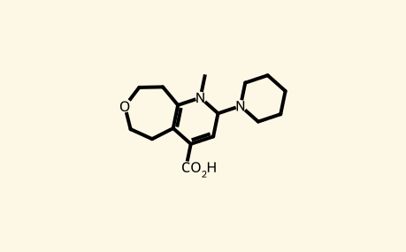 CN1C2=C(CCOCC2)C(C(=O)O)=CC1N1CCCCC1